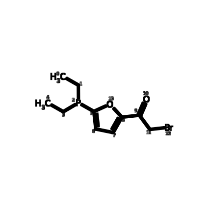 CCP(CC)c1ccc(C(=O)CBr)o1